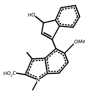 COc1ccc2c(c(C)c(C(=O)O)n2C)c1C1=CC(O)c2ccccc21